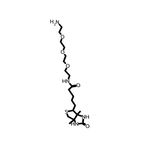 CC12CSC(CCCCC(=O)NCCOCCOCCOCCN)C1(C)NC(=O)N2